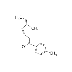 C/C=C(C)\C=C/C[S+]([O-])c1ccc(C)cc1